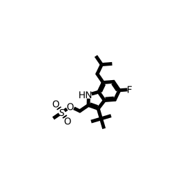 CC(C)Cc1cc(F)cc2c(C(C)(C)C)c(COS(C)(=O)=O)[nH]c12